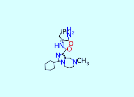 CC(C)C[C@H](NC(=O)c1nc(C2CCCCC2)n2c1CN(C)CCC2)C(N)=O